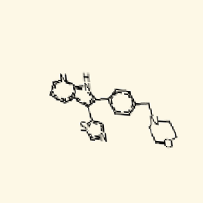 c1cnc2[nH]c(-c3ccc(CN4CCOCC4)cc3)c(-c3cncs3)c2c1